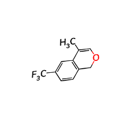 CC1=COCc2ccc(C(F)(F)F)cc21